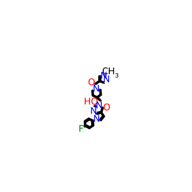 Cn1cc(C(=O)N2CCC(O)(Cn3cnc4c(ccn4-c4ccc(F)cc4)c3=O)CC2)cn1